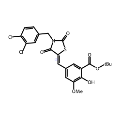 COc1cc(/C=C2\SC(=O)N(Cc3ccc(Cl)c(Cl)c3)C2=O)cc(C(=O)OC(C)(C)C)c1O